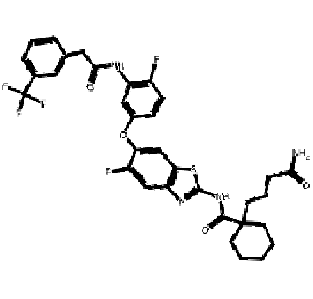 NC(=O)CCCC1(C(=O)Nc2nc3cc(F)c(Oc4ccc(F)c(NC(=O)Cc5cccc(C(F)(F)F)c5)c4)cc3s2)CCCCC1